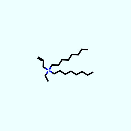 C=CC[N+](CC)(CCCCCCCC)CCCCCCCC